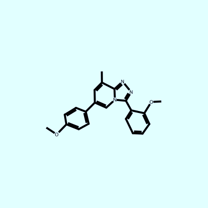 COc1ccc(-c2cc(C)c3nnc(-c4ccccc4OC)n3c2)cc1